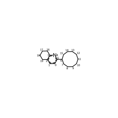 c1cc2c(nc1C1CCCCCCCCC1)CCCC2